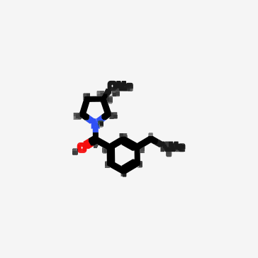 CNCc1cccc(C(=O)N2CC[C@@H](OC)C2)c1